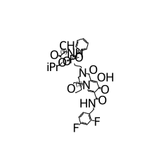 CC(C)OC(=O)[C@H](C)NP(=O)(CCN1C[C@]2(CCOC2)n2cc(C(=O)NCc3ccc(F)cc3F)c(=O)c(O)c2C1=O)Oc1ccccc1